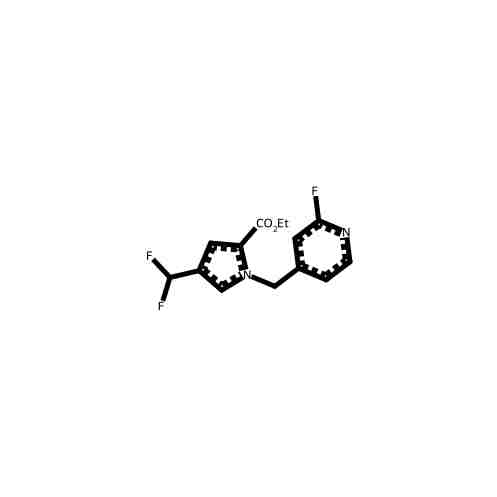 CCOC(=O)c1cc(C(F)F)cn1Cc1ccnc(F)c1